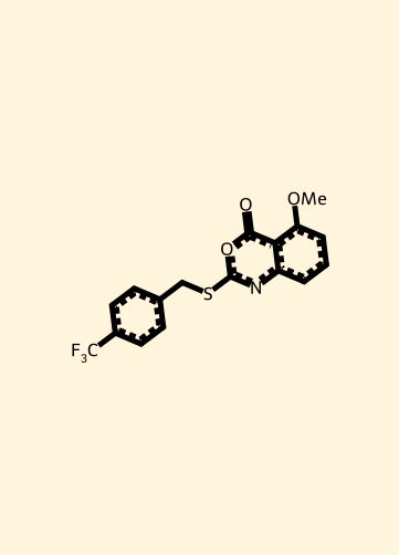 COc1cccc2nc(SCc3ccc(C(F)(F)F)cc3)oc(=O)c12